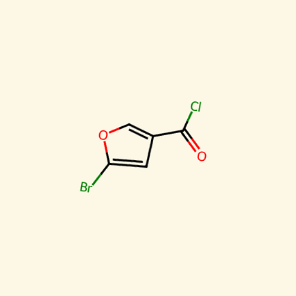 O=C(Cl)c1coc(Br)c1